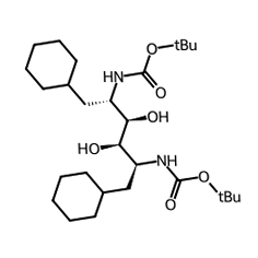 CC(C)(C)OC(=O)N[C@@H](CC1CCCCC1)[C@@H](O)[C@H](O)[C@H](CC1CCCCC1)NC(=O)OC(C)(C)C